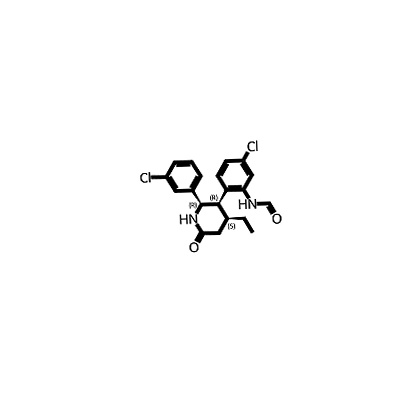 CC[C@H]1CC(=O)N[C@@H](c2cccc(Cl)c2)[C@H]1c1ccc(Cl)cc1NC=O